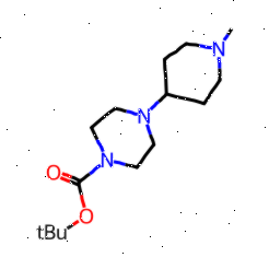 CN1CCC(N2CCN(C(=O)OC(C)(C)C)CC2)CC1